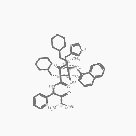 CC[C@H](C)[C@H](N)C(=O)C(NC(=O)[C@@](CC1CCCCC1)(C(=O)[C@@H](N)Cc1c[nH]cn1)[C@@](O)(C(C)=O)[C@](O)(Oc1cccc2ccccc12)[C@@H](N)CC1CCCCC1)c1ccccn1